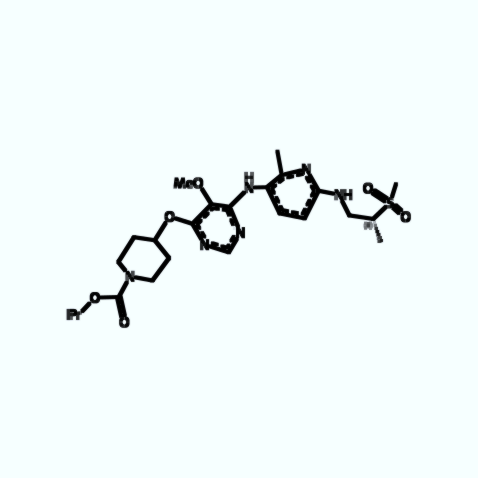 COc1c(Nc2ccc(NC[C@@H](C)S(C)(=O)=O)nc2C)ncnc1OC1CCN(C(=O)OC(C)C)CC1